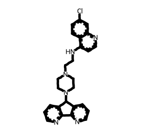 Clc1ccc2c(NCCN3CCN(C4c5cccnc5-c5ncccc54)CC3)ccnc2c1